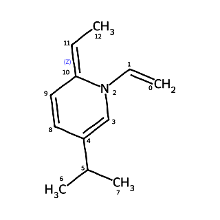 C=CN1C=C(C(C)C)C=C/C1=C/C